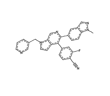 Cn1ncc2cc(-c3ncc4c(ccn4Cc4cccnc4)c3-c3ccc(C#N)c(F)c3)ccc21